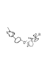 CCS(=O)(=O)N[C@H]1CCCO[C@@H]1COc1ccc(-c2csc(C)n2)cc1